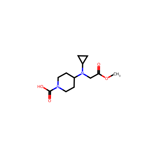 COC(=O)CN(C1CC1)C1CCN(C(=O)O)CC1